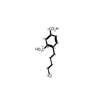 O=C(O)c1ccc(CCCCCl)c(C(=O)O)c1